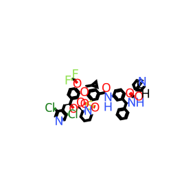 O=C(N[C@@H](c1ccccc1)c1cccc(NC(=O)c2cccc(S(=O)(=O)N3CCCC[C@H]3C(=O)O[C@@H](Cc3c(Cl)cncc3Cl)c3ccc(OC(F)F)c(OCC4CC4)c3)c2)c1)O[C@H]1CN2CCC1CC2